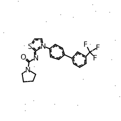 O=C(N=c1sccn1-c1ccc(-c2cccc(C(F)(F)F)c2)cc1)N1CCCC1